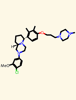 COc1cc(N2CCN3[C@@H](CCC[C@@H]3c3ccc(OCCCN4CCN(C)CC4)c(C)c3C)C2)ccc1Cl